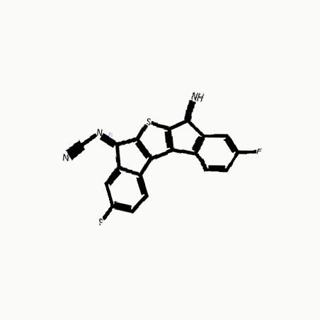 N#C/N=c1\c2cc(F)ccc2c2c1sc1c(=N)c3cc(F)ccc3c12